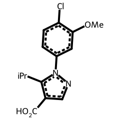 COc1cc(-n2ncc(C(=O)O)c2C(C)C)ccc1Cl